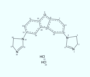 C1=NCCN1c1ccc2oc3ccc(N4C=NCC4)cc3c2c1.Cl.Cl